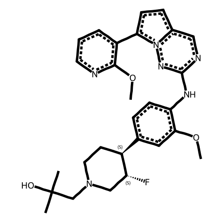 COc1cc([C@@H]2CCN(CC(C)(C)O)C[C@H]2F)ccc1Nc1ncc2ccc(-c3cccnc3OC)n2n1